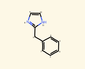 [CH](c1ccccc1)c1ncc[nH]1